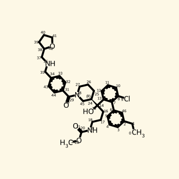 CCc1cccc(-c2c(Cl)cccc2C(O)(CCCNC(=O)OC)[C@@H]2CCCN(C(=O)c3ccc(CNCC4CCCO4)cc3)C2)c1